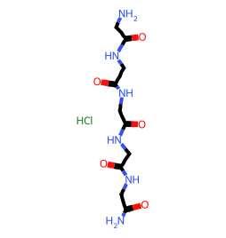 Cl.NCC(=O)NCC(=O)NCC(=O)NCC(=O)NCC(N)=O